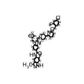 Cc1n[nH]c2cc(F)c(NC(=O)c3ccc4c(c3)nc(CN3CCC(c5cccc(OCc6ccc(Cl)cc6F)n5)CC3)n4C[C@@H]3CCO3)cc12